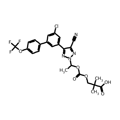 CC(OC(=O)OCC(C)(C)C(=O)O)n1nc(C#N)c(-c2cc(Cl)cc(-c3ccc(OC(F)(F)F)cc3)c2)n1